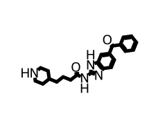 O=C(CCCC1CCNCC1)Nc1nc2ccc(C(=O)c3ccccc3)cc2[nH]1